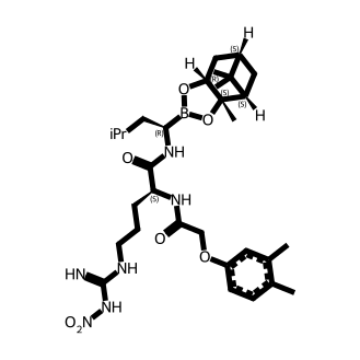 Cc1ccc(OCC(=O)N[C@@H](CCCNC(=N)N[N+](=O)[O-])C(=O)N[C@@H](CC(C)C)B2O[C@@H]3C[C@@H]4C[C@@H](C4(C)C)[C@]3(C)O2)cc1C